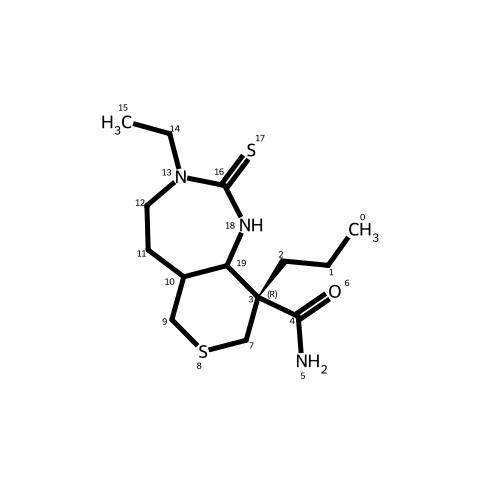 CCC[C@@]1(C(N)=O)CSCC2CCN(CC)C(=S)NC21